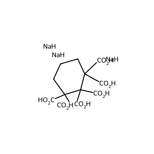 O=C(O)C1(C(=O)O)CCCC(C(=O)O)(C(=O)O)C1(C(=O)O)C(=O)O.[NaH].[NaH].[NaH]